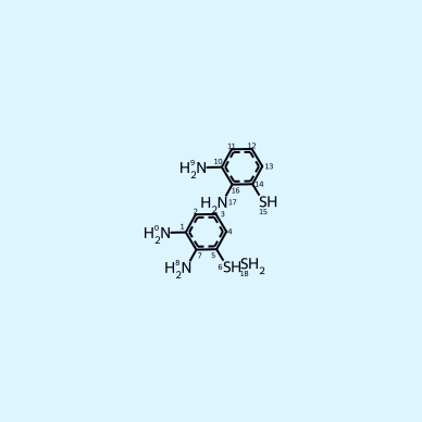 Nc1cccc(S)c1N.Nc1cccc(S)c1N.S